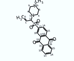 C=CC(N1CCN(C)CC1)S(=O)(=O)c1ccc2c(c1)C(=O)c1ccccc1C2=O